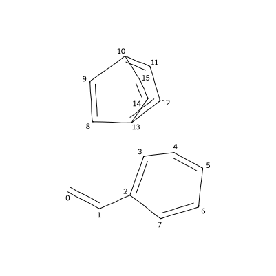 C=Cc1ccccc1.c1cc2ccc1cc2